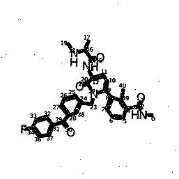 CNC(=O)c1cccc(-c2ccc(NC(=O)C(C)NC)c(=O)n2Cc2cccc(C(=O)c3ccc(F)cc3)c2)c1C